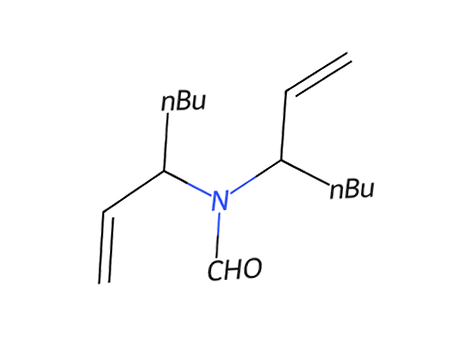 C=CC(CCCC)N(C=O)C(C=C)CCCC